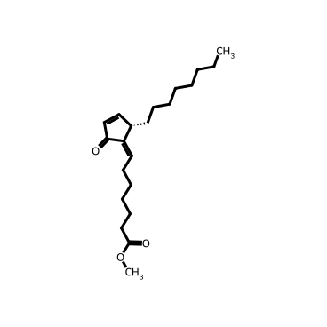 CCCCCCCC[C@H]1C=CC(=O)/C1=C\CCCCCC(=O)OC